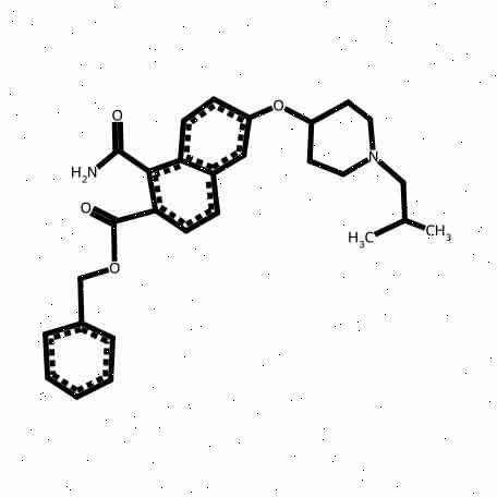 CC(C)CN1CCC(Oc2ccc3c(C(N)=O)c(C(=O)OCc4ccccc4)ccc3c2)CC1